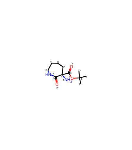 CC(C)(C)OC(=O)[C@@]1(N)CCCCNC1=O